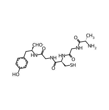 C[C@H](N)C(=O)NCC(=O)N[C@@H](CS)C(=O)NCC(=O)N[C@H]([C]=O)Cc1ccc(O)cc1